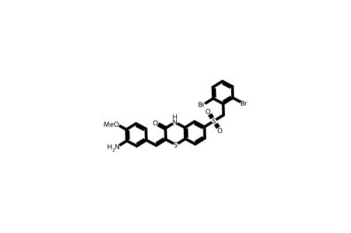 COc1ccc(C=C2Sc3ccc(S(=O)(=O)Cc4c(Br)cccc4Br)cc3NC2=O)cc1N